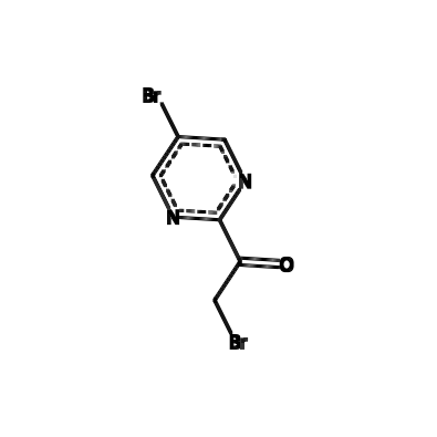 O=C(CBr)c1ncc(Br)cn1